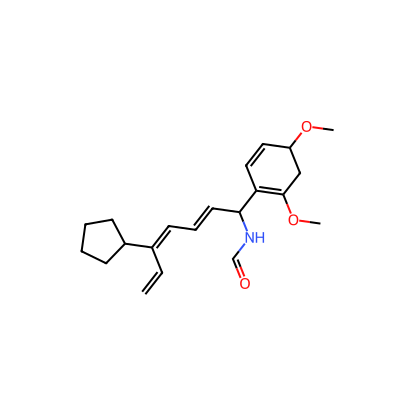 C=C/C(=C\C=C\C(NC=O)C1=C(OC)CC(OC)C=C1)C1CCCC1